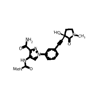 CNC(=O)Nc1cn(-c2cccc(C#C[C@]3(O)CCN(C)C3=O)c2)nc1C(N)=O